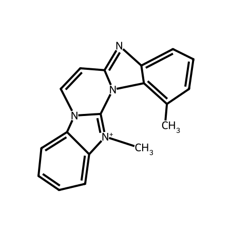 Cc1cccc2nc3ccn4c5ccccc5[n+](C)c4n3c12